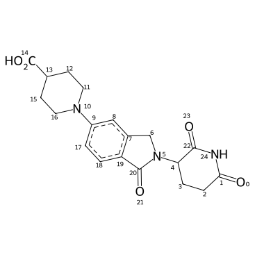 O=C1CCC(N2Cc3cc(N4CCC(C(=O)O)CC4)ccc3C2=O)C(=O)N1